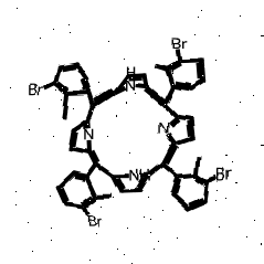 Cc1c(Br)cccc1-c1c2nc(c(-c3cccc(Br)c3C)c3ccc([nH]3)c(-c3cccc(Br)c3C)c3nc(c(-c4cccc(Br)c4C)c4ccc1[nH]4)C=C3)C=C2